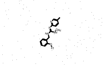 CCOc1ccccc1CNC(=Nc1ccc(C)cn1)NOC(C)=O